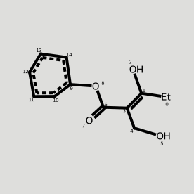 CCC(O)=C(CO)C(=O)Oc1ccccc1